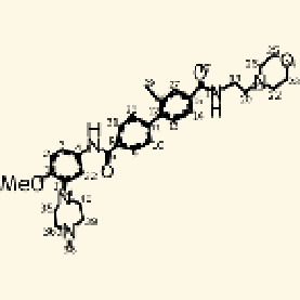 COc1ccc(NC(=O)c2ccc(-c3ccc(C(=O)NCCN4CCOCC4)cc3C)cc2)cc1N1CCN(C)CC1